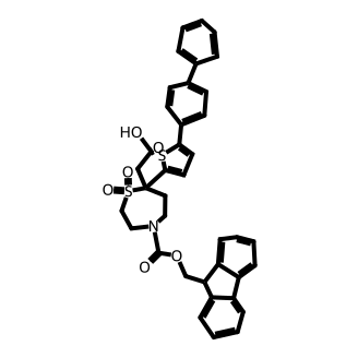 O=C(O)CC1(c2ccc(-c3ccc(-c4ccccc4)cc3)s2)CCN(C(=O)OCC2c3ccccc3-c3ccccc32)CCS1(=O)=O